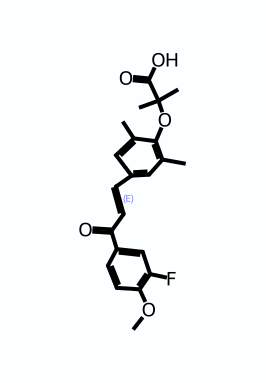 COc1ccc(C(=O)/C=C/c2cc(C)c(OC(C)(C)C(=O)O)c(C)c2)cc1F